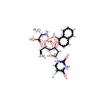 C=C[C@@H](O[P@](=O)(N[C@@H](C)C(=O)O)Oc1cccc2ccccc12)[C@H]1O[C@@H](n2cc(F)c(=O)[nH]c2=O)C[C@@H]1O